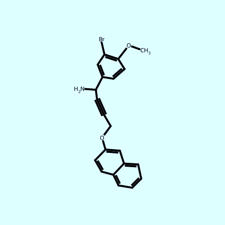 COc1ccc(C(N)C#CCOc2ccc3ccccc3c2)cc1Br